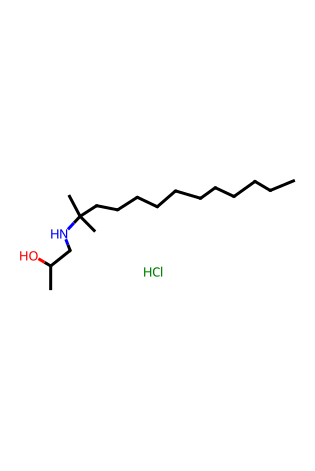 CCCCCCCCCCCC(C)(C)NCC(C)O.Cl